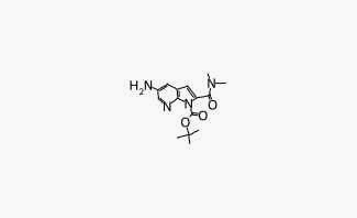 CN(C)C(=O)c1cc2cc(N)cnc2n1C(=O)OC(C)(C)C